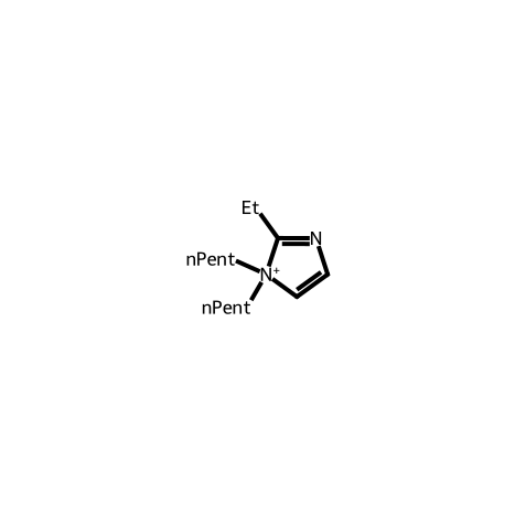 CCCCC[N+]1(CCCCC)C=CN=C1CC